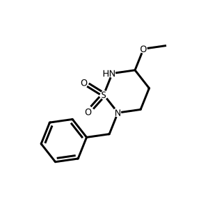 COC1CCN(Cc2ccccc2)S(=O)(=O)N1